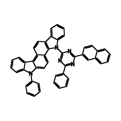 c1ccc(-c2nc(-c3ccc4ccccc4c3)nc(-n3c4ccccc4c4ccc5c(ccc6c5c5ccccc5n6-c5ccccc5)c43)n2)cc1